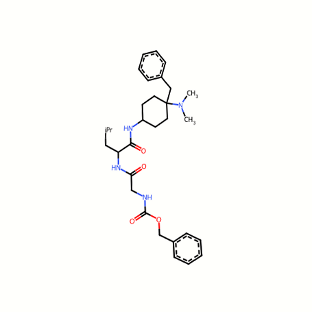 CC(C)CC(NC(=O)CNC(=O)OCc1ccccc1)C(=O)NC1CCC(Cc2ccccc2)(N(C)C)CC1